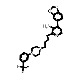 Nc1c(-c2ccc3c(c2)OCO3)ccnc1CCCCN1CCN(c2cccc(C(F)(F)F)c2)CC1